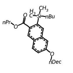 CCCCCCCCCCOc1ccc2cc(C(=O)OCCC)c([Si](C)(C)CCCC)cc2c1